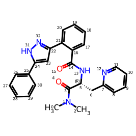 CN(C)C(=O)[C@@H](Cc1ccccn1)NC(=O)c1ccccc1-c1cc(-c2ccccc2)[nH]n1